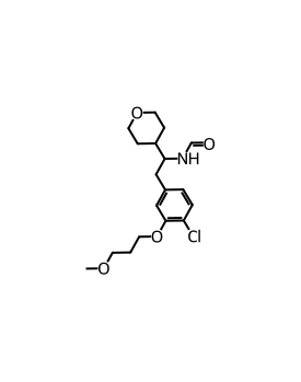 COCCCOc1cc(CC(NC=O)C2CCOCC2)ccc1Cl